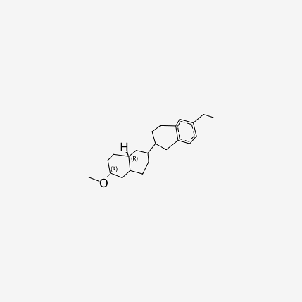 CCc1ccc2c(c1)CCC(C1CCC3C[C@H](OC)CC[C@@H]3C1)C2